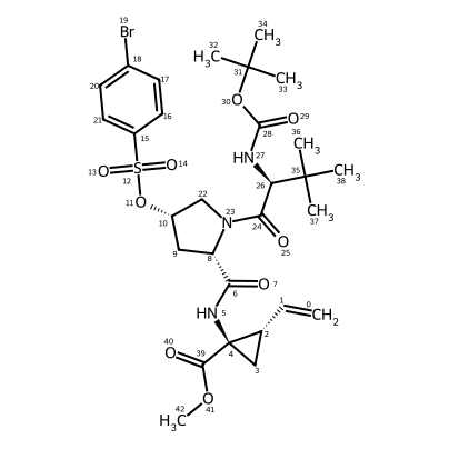 C=C[C@@H]1C[C@]1(NC(=O)[C@@H]1C[C@H](OS(=O)(=O)c2ccc(Br)cc2)CN1C(=O)[C@@H](NC(=O)OC(C)(C)C)C(C)(C)C)C(=O)OC